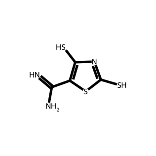 N=C(N)c1sc(S)nc1S